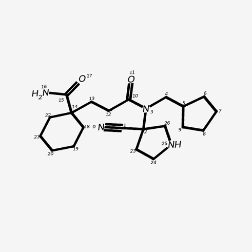 N#CC1(N(CC2CCCC2)C(=O)[CH]CC2(C(N)=O)CCCCC2)CCNC1